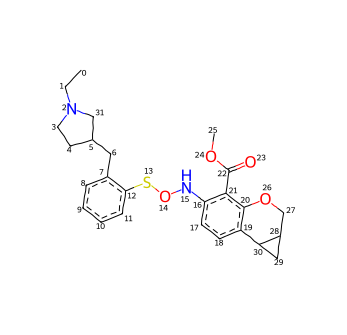 CCN1CCC(Cc2ccccc2SONc2ccc3c(c2C(=O)OC)OCC2CC32)C1